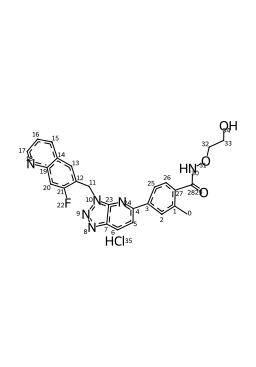 Cc1cc(-c2ccc3nnn(Cc4cc5cccnc5cc4F)c3n2)ccc1C(=O)NOCCO.Cl